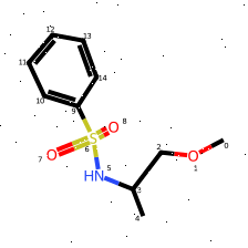 COCC(C)NS(=O)(=O)c1cc[c]cc1